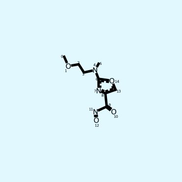 COCCN(C)c1nc(C(=O)N=O)co1